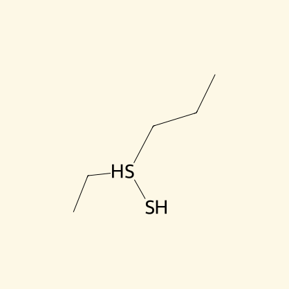 CCC[SH](S)CC